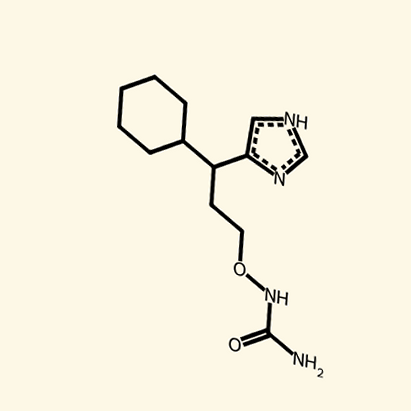 NC(=O)NOCCC(c1c[nH]cn1)C1CCCCC1